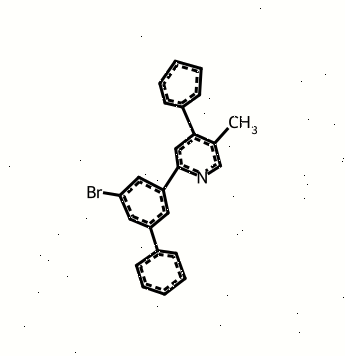 Cc1cnc(-c2cc(Br)cc(-c3ccccc3)c2)cc1-c1ccccc1